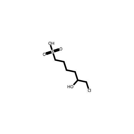 O=S(=O)(O)CCCCC(O)CCl